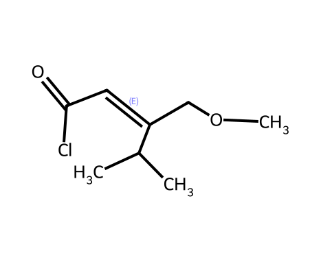 COC/C(=C/C(=O)Cl)C(C)C